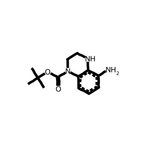 CC(C)(C)OC(=O)N1CCNc2c(N)cccc21